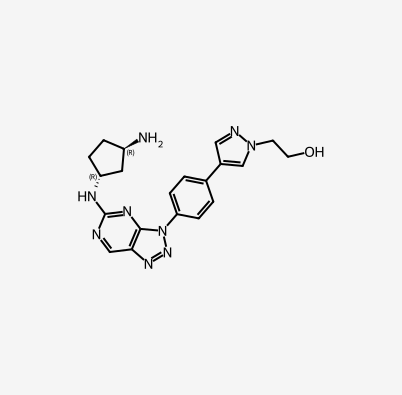 N[C@@H]1CC[C@@H](Nc2ncc3nnn(-c4ccc(-c5cnn(CCO)c5)cc4)c3n2)C1